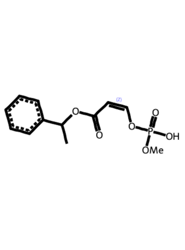 COP(=O)(O)O/C=C\C(=O)OC(C)c1ccccc1